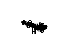 CN1C(=O)N(c2ccccc2Br)Cc2cnc(Nc3ccc4c(c3)OC(CN3CCCC3)CO4)nc21